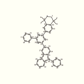 CC1(C)CCC(C)(C)c2cc(-c3nc(-c4ccccc4)nc(-c4ccc5c(c4)c4ccccc4n5-c4ccccc4)n3)ccc21